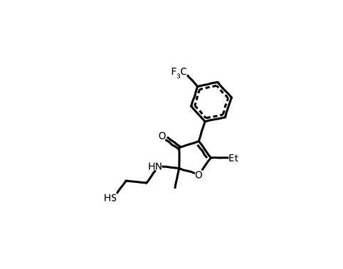 CCC1=C(c2cccc(C(F)(F)F)c2)C(=O)C(C)(NCCS)O1